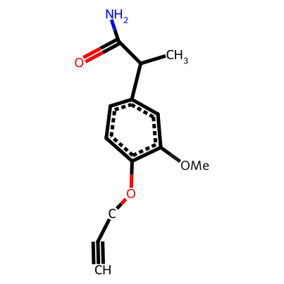 C#CCOc1ccc(C(C)C(N)=O)cc1OC